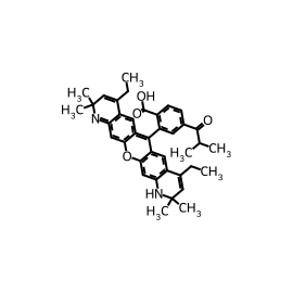 CCC1=CC(C)(C)Nc2cc3c(cc21)C(c1cc(C(=O)C(C)C)ccc1C(=O)O)=c1cc2c(cc1O3)=NC(C)(C)C=C2CC